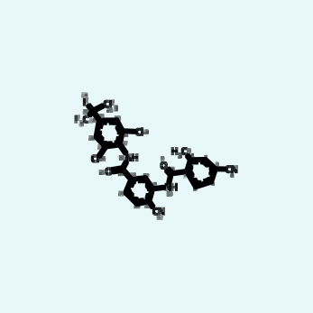 Cc1cc(C#N)ccc1C(=O)Nc1cc(C(=O)Nc2c(Cl)cc(C(F)(C(F)(F)F)C(F)(F)F)cc2Cl)ccc1C#N